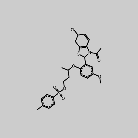 COc1ccc(OC(C)CCOS(=O)(=O)c2ccc(C)cc2)c(C2SC3=C(C=CC(Cl)C3)N2C(C)=O)c1